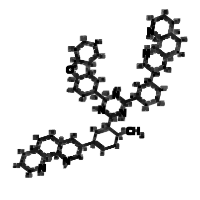 CC1CC=C(c2cnc3c(ccc4cccnc43)c2)C=C1c1nc(-c2cccc(-c3cnc4c(ccc5cccnc54)c3)c2)nc(-c2ccc3oc4ccccc4c3c2)n1